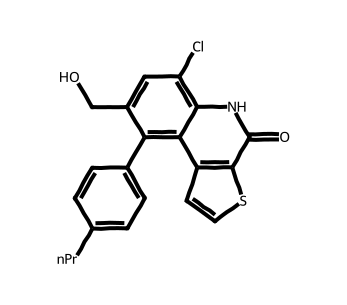 CCCc1ccc(-c2c(CO)cc(Cl)c3[nH]c(=O)c4sccc4c23)cc1